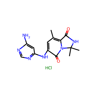 Cc1cc(Nc2cc(N)ncn2)c(=O)n2c1C(=O)NC2(C)C.Cl